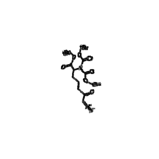 CC(C)(C)OC(=O)C(CCCC(=O)C=[N+]=[N-])N(C(=O)OC(C)(C)C)C(=O)OC(C)(C)C